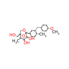 COc1ccc(Cc2cc([C@]34OC[C@](CO)(O3)[C@@H](C)[C@H](O)[C@@H]4O)ccc2C)cc1